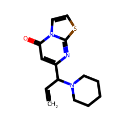 C=CC(c1cc(=O)n2ccsc2n1)N1CCCCC1